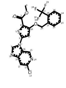 COC(=O)c1sc(-n2cnc3cc(Cl)ncc32)cc1OCc1ccccc1C(F)(F)F